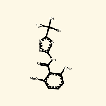 CCC(C)(C)c1nnc(NC(=O)c2c(OC)cccc2OC)s1